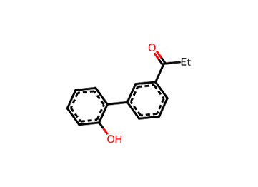 CCC(=O)c1cccc(-c2ccccc2O)c1